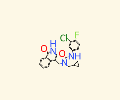 O=C(Nc1ccc(F)c(Cl)c1)N(Cc1c[nH]c(=O)c2ccccc12)CC1CC1